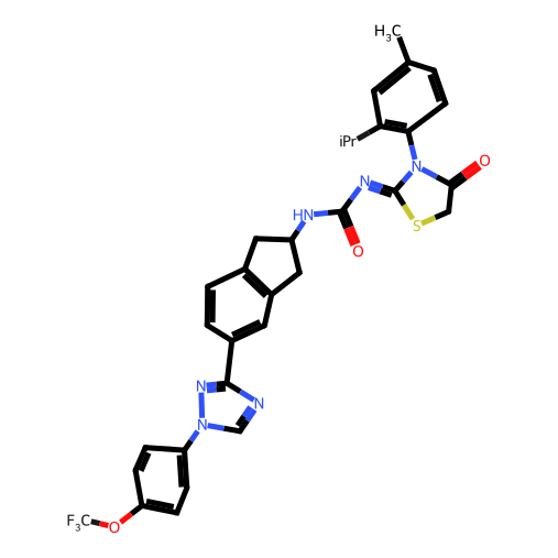 Cc1ccc(N2C(=O)CS/C2=N\C(=O)NC2Cc3ccc(-c4ncn(-c5ccc(OC(F)(F)F)cc5)n4)cc3C2)c(C(C)C)c1